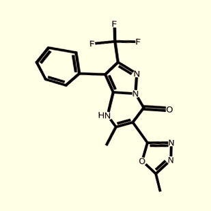 Cc1nnc(-c2c(C)[nH]c3c(-c4ccccc4)c(C(F)(F)F)nn3c2=O)o1